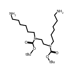 CC(C)(C)OC(=O)N(CCCCCCN)CCN(CCCCCCN)C(=O)OC(C)(C)C